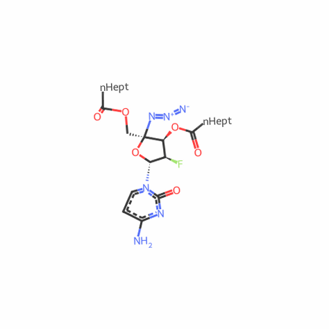 CCCCCCCC(=O)OC[C@@]1(N=[N+]=[N-])O[C@@H](n2ccc(N)nc2=O)[C@H](F)[C@@H]1OC(=O)CCCCCCC